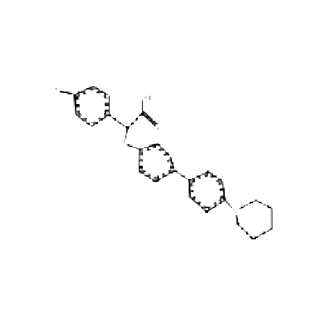 O=C(O)C(Oc1ccc(-c2ccc(N3CCCCC3)cc2)cc1)c1ccc(Cl)cc1